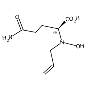 C=CCN(O)[C@@H](CCC(N)=O)C(=O)O